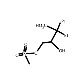 CCC(C(=O)O)(C(C)C)C(O)COS(C)(=O)=O